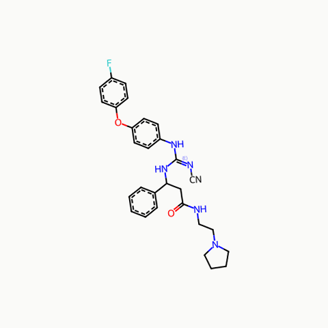 N#C/N=C(/Nc1ccc(Oc2ccc(F)cc2)cc1)NC(CC(=O)NCCN1CCCC1)c1ccccc1